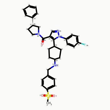 CS(=O)(=O)c1ccc(CNC2CCC(c3c(C(=O)N4CC[C@H](c5ccccc5)C4)cnn3-c3ccc(F)cc3)CC2)cc1